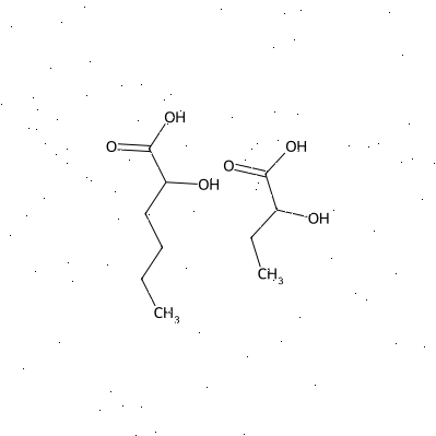 CCC(O)C(=O)O.CCCCC(O)C(=O)O